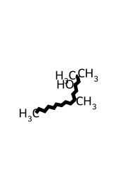 CCCCCCCCCC(C)CCC(O)CC(C)C